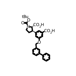 CC(C)(C)OC(=O)N1CC[C@H](c2cc(OCc3cccc(-c4ccccc4)c3)cc(C(=O)O)c2)[C@H]1C(=O)O